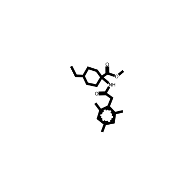 CCC1CCC(NC(=O)Cc2c(C)cc(C)cc2C)(C(=O)OC)CC1